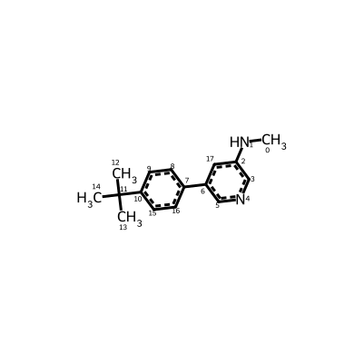 CNc1cncc(-c2ccc(C(C)(C)C)cc2)c1